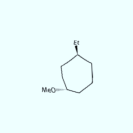 CC[C@H]1CCC[C@H](OC)C1